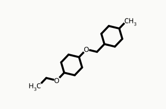 CCOC1CCC(OCC2CCC(C)CC2)CC1